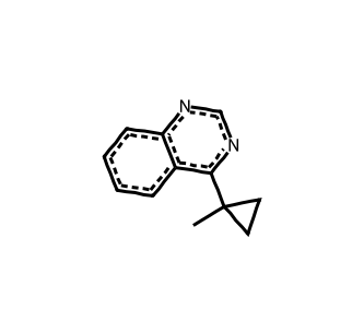 CC1(c2ncnc3ccccc23)CC1